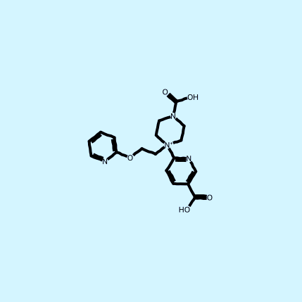 O=C(O)c1ccc([N+]2(CCOc3ccccn3)CCN(C(=O)O)CC2)nc1